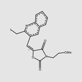 COCCN1C(=O)O/C(=C/c2cc3ccccc3nc2CI)C1=O